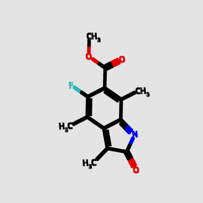 COC(=O)c1c(F)c(C)c2c(c1C)=NC(=O)C=2C